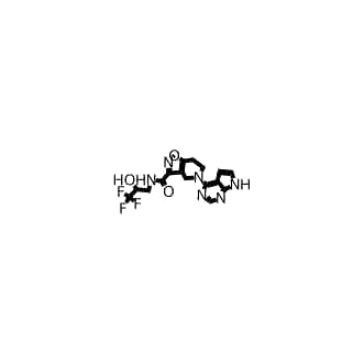 O=C(NCC(O)C(F)(F)F)c1noc2c1CN(c1ncnc3[nH]ccc13)CC2